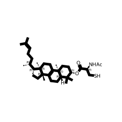 CC(=O)N[C@@H](CS)C(=O)O[C@H]1CC[C@]2(C)C3=C(CC[C@H]2C1(C)C)[C@]1(C)CC[C@H]([C@H](C)CCC=C(C)C)[C@@]1(C)CC3